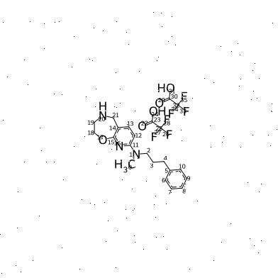 CN(CCCc1ccccc1)c1ccc2c(n1)OCCNC2.O=C(O)C(F)(F)F.O=C(O)C(F)(F)F